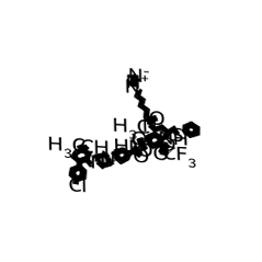 CN(CCC(CSc1ccccc1)Nc1ccc(S(=O)(=O)NC(=O)c2ccc(N3CCN(CC4=C(c5ccc(Cl)cc5)CCC(C)(C)C4)CC3)cc2)cc1S(=O)(=O)C(F)(F)F)C(=O)CCCCCCN=[N+]=[N-]